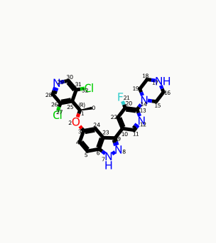 C[C@@H](Oc1ccc2[nH]nc(-c3cnc(N4CCNCC4)c(F)c3)c2c1)c1c(Cl)cncc1Cl